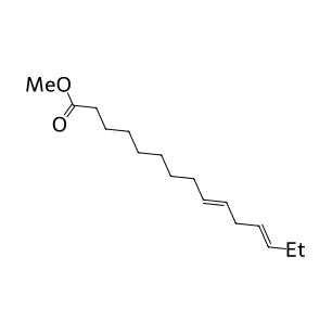 CCC=CCC=CCCCCCCCC(=O)OC